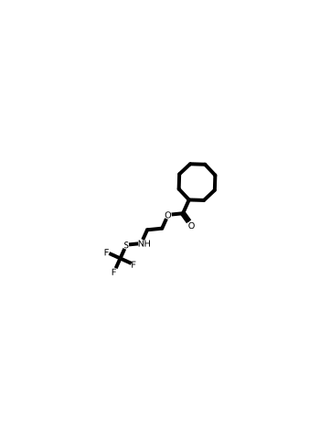 O=C(OCCNSC(F)(F)F)C1CCCCCCC1